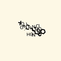 C[C@H]1CN(c2cc(/C(=N\O)C3CCC[C@@]4(CCCCC45OCCO5)C3=O)nc(Cl)n2)C[C@H](C)N1C(=O)OC(C)(C)C